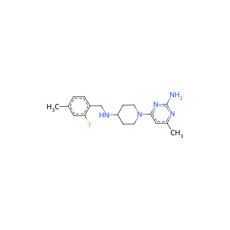 Cc1ccc(CNC2CCN(c3cc(C)nc(N)n3)CC2)c(F)c1